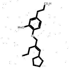 COc1cc(CCC(=O)O)ccc1OC/C(=C/C1CCCC1)CCI